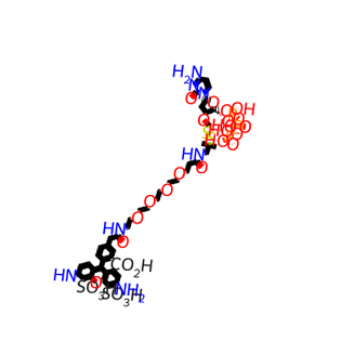 CC(C)(CNC(=O)CCOCCOCCOCCOCCNC(=O)Cc1ccc(-c2c3ccc(=N)c(S(=O)(=O)O)c-3oc3c(S(=O)(=O)O)c(N)ccc23)c(C(=O)O)c1)SSCOC1C[C@H](n2ccc(N)nc2=O)O[C@@H]1COP(=O)(O)OP(=O)(O)OP(=O)(O)O